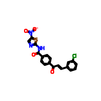 O=C(/C=C/c1cccc(Cl)c1)c1ccc(C(=O)Nc2ncc([N+](=O)[O-])s2)cc1